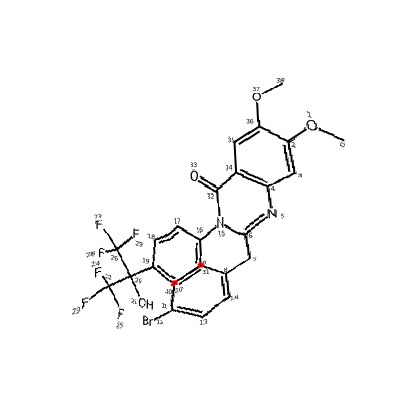 COc1cc2nc(Cc3ccc(Br)cc3)n(-c3ccc(C(O)(C(F)(F)F)C(F)(F)F)cc3)c(=O)c2cc1OC